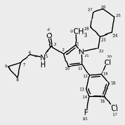 Cc1c(C(=O)NCC2CC2)cc(-c2cc(F)c(Cl)cc2Cl)n1CC1CCCCC1